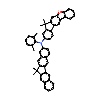 Cc1cccc(C)c1N(c1ccc2c(c1)C(C)(C)c1cc3oc4ccccc4c3cc1-2)c1ccc2cc3c(cc2c1)C(C)(C)c1cc2ccccc2cc1-3